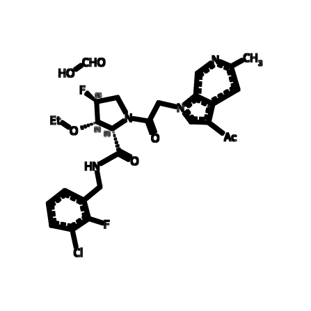 CCO[C@H]1[C@@H](C(=O)NCc2cccc(Cl)c2F)N(C(=O)Cn2cc(C(C)=O)c3cc(C)ncc32)C[C@@H]1F.O=CO